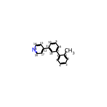 Cc1ccccc1-c1cccc(-c2ccncc2)c1